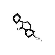 Cc1ccc2c(c1)CCN(c1ccccc1)C2=O